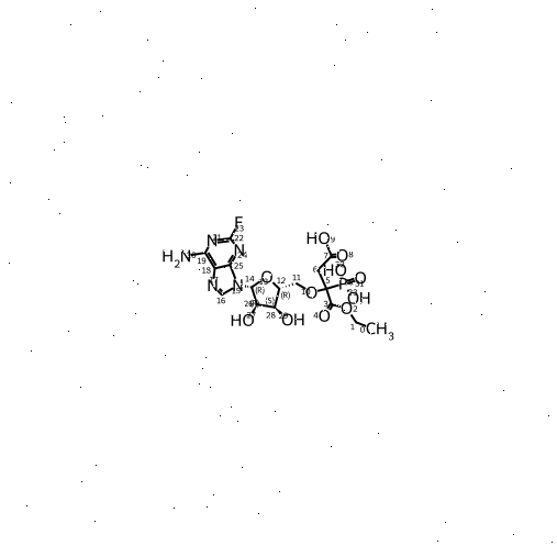 CCOC(=O)C(CC(=O)O)(OC[C@H]1O[C@@H](n2cnc3c(N)nc(F)nc32)[C@H](O)[C@@H]1O)P(=O)(O)O